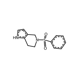 O=S(=O)(c1ccccc1)N1CCc2[nH]ccc2C1